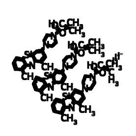 Cc1cccc2[s+]c3cc(N4CCN(C(=O)OC(C)(C)C)CC4)cc(C)c3nc12.Cc1cccc2[s+]c3cc(N4CCN(C(=O)OC(C)(C)C)CC4)cc(C)c3nc12.Cc1cccc2[s+]c3cc(N4CCN(C(=O)OC(C)(C)C)CC4)cc(C)c3nc12.[I-].[I-].[I-]